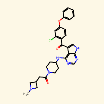 CN1CC(CC(=O)N2CCC(Nc3ncnc4[nH]cc(C(=O)c5ccc(Oc6ccccc6)cc5Cl)c34)CC2)C1